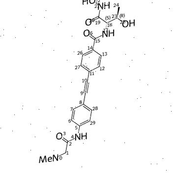 CNCC(=O)Nc1ccc(C#Cc2ccc(C(=O)N[C@H](C(=O)NO)[C@@H](C)O)cc2)cc1